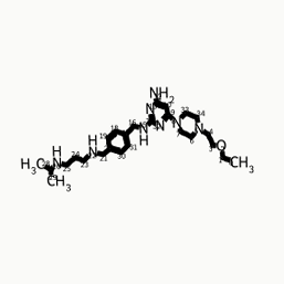 CCOCCN1CCN(c2cc(N)nc(NCc3ccc(CNCCCNC(C)C)cc3)n2)CC1